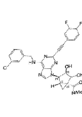 CNC(=O)[C@]12C[C@@H]1[C@@H](n1cnc3c(NCc4cccc(Cl)c4)nc(C#Cc4ccc(F)c(F)c4)nc31)[C@@H](O)C2O